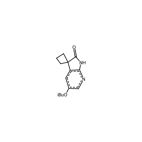 CC(C)COc1cnc2c(c1)C1(CCC1)C(=O)N2